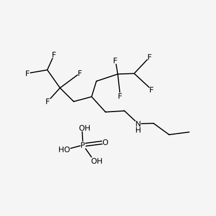 CCCNCCC(CC(F)(F)C(F)F)CC(F)(F)C(F)F.O=P(O)(O)O